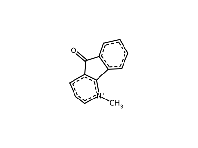 C[n+]1cccc2c1-c1ccccc1C2=O